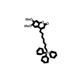 COc1cc2oc(=O)cc(CCCCCCCC[PH](c3ccccc3)(c3ccccc3)c3ccccc3)c2cc1OC